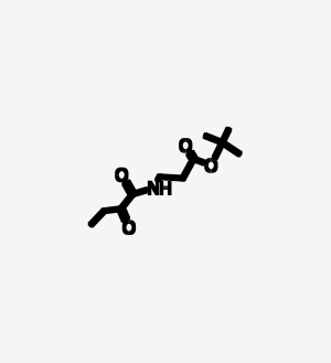 CCC(=O)C(=O)NCCC(=O)OC(C)(C)C